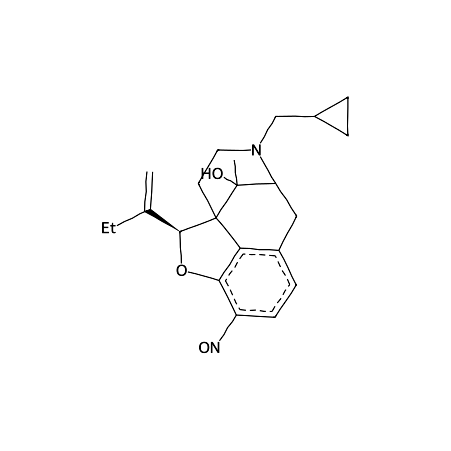 C=C(CC)[C@@H]1Oc2c(N=O)ccc3c2C12CCN(CC1CC1)C(C3)C2(C)O